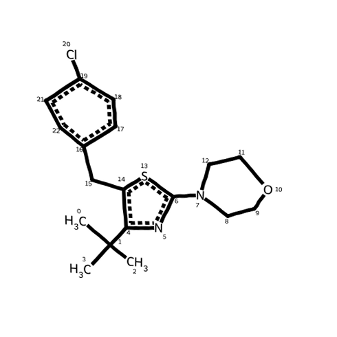 CC(C)(C)c1nc(N2CCOCC2)sc1Cc1ccc(Cl)cc1